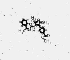 COC(=O)c1ccc(-c2c(NC(=O)OC(C)c3ccccc3)c(C)nn2C)cc1